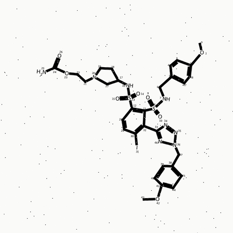 COc1ccc(CNS(=O)(=O)c2c(S(=O)(=O)NC3CCN(CCOC(N)=O)C3)ccc(I)c2-c2nnn(Cc3ccc(OC)cc3)n2)cc1